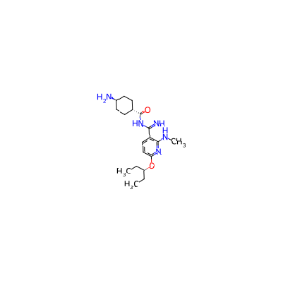 CCC(CC)Oc1ccc(C(=N)NC(=O)[C@H]2CC[C@H](N)CC2)c(NC)n1